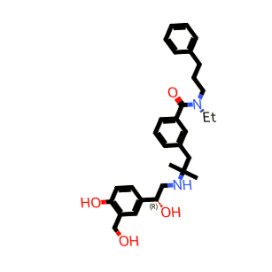 CCN(CCCc1ccccc1)C(=O)c1cccc(CC(C)(C)NC[C@H](O)c2ccc(O)c(CO)c2)c1